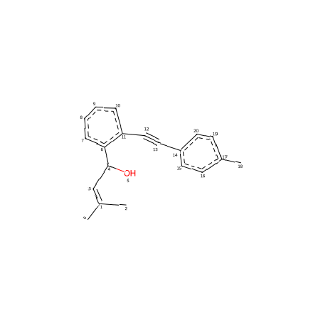 CC(C)=CC(O)c1ccccc1C#Cc1ccc(C)cc1